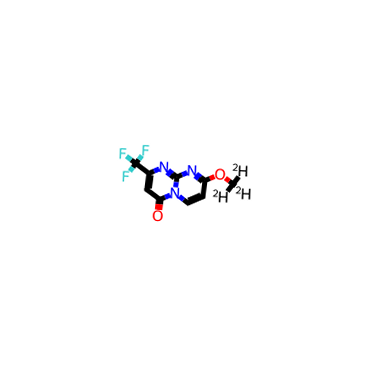 [2H]C([2H])([2H])Oc1ccn2c(=O)cc(C(F)(F)F)nc2n1